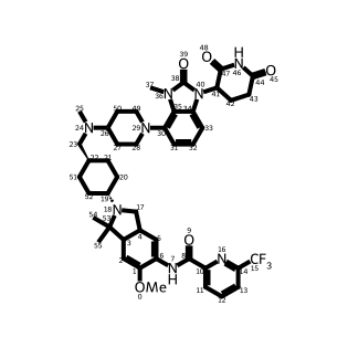 COC1=CC2C(C=C1NC(=O)c1cccc(C(F)(F)F)n1)CN([C@H]1CC[C@H](CN(C)C3CCN(c4cccc5c4n(C)c(=O)n5C4CCC(=O)NC4=O)CC3)CC1)C2(C)C